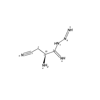 N#CC[C@H](N)C(=N)NN=N